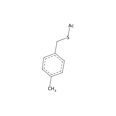 CC(=O)SCc1ccc(C)cc1